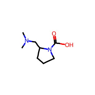 CN(C)CC1CCCN1C(=O)O